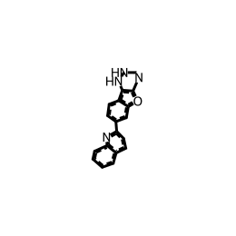 C1=Nc2oc3cc(-c4ccc5ccccc5n4)ccc3c2NN1